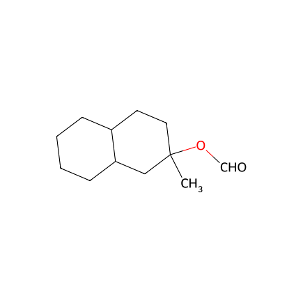 CC1(OC=O)CCC2CCCCC2C1